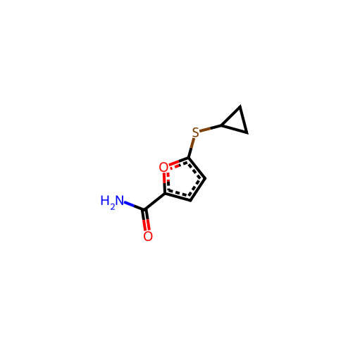 NC(=O)c1ccc(SC2CC2)o1